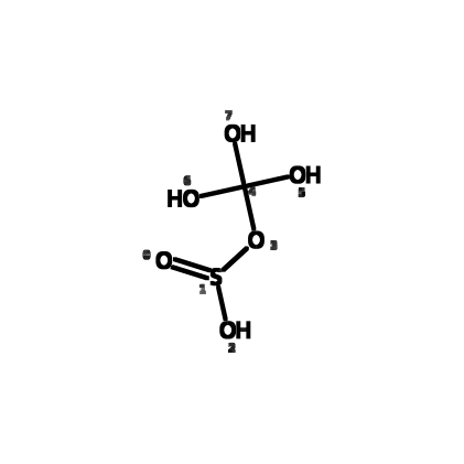 O=S(O)OC(O)(O)O